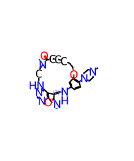 C=NC(=O)/C1=C\Nc2ccc(N3CCN(C)CC3)c(c2)OCCCCCC(=O)N(C)CCCNc2ncnc(C)c21